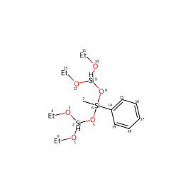 CCO[SiH](OCC)O[Si](C)(O[SiH](OCC)OCC)c1ccccc1